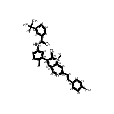 Cc1ccc(NC(=O)c2cccc(C(F)(F)F)c2)cc1-c1cc2cnc(/C=C/c3ccc(F)cc3)cc2n(C)c1=O